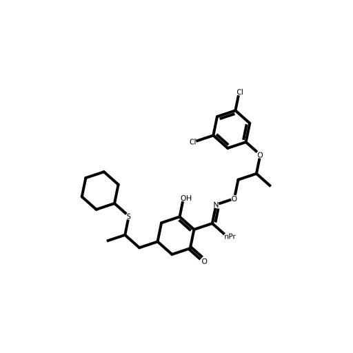 CCC/C(=N\OCC(C)Oc1cc(Cl)cc(Cl)c1)C1=C(O)CC(CC(C)SC2CCCCC2)CC1=O